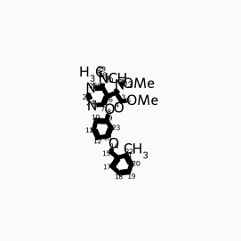 CON=C(C(=O)OC)c1c(Oc2cccc(OCc3ccccc3C)c2)ncnc1N(C)C